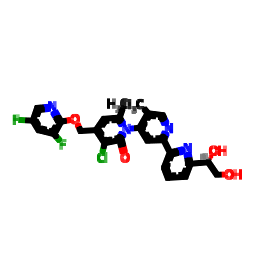 Cc1cnc(-c2cccc([C@H](O)CO)n2)cc1-n1c(C)cc(COc2ncc(F)cc2F)c(Cl)c1=O